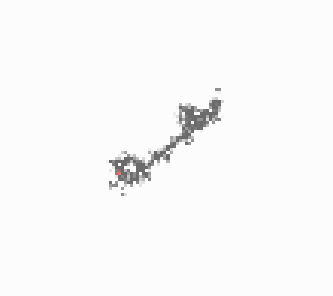 CN[C@H](C)C(=O)N[C@@H](C(=O)N1CCC[C@@H]1C1=NC(C(=O)c2ccc(F)cc2)CS1)C1CCN(C(=O)CCOCCOCCC(=O)NCCn2nc3c(c2C#N)-c2cnc(N)c(n2)N2CCC[C@@H]2c2cc(F)ccc2C(=O)N(C)C3)CC1